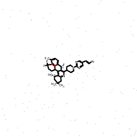 CC(C)C=Cc1cnc(N2CCC(c3nc4c(c(C5CCC(F)(F)CC5)c3[C@@H](F)c3ccc(C(F)(F)F)cc3)[C@@H](O)CC(C)(C)C4)CC2)nc1